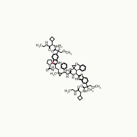 CCNC(=O)[C@H](NC(=O)C(C)(COC)c1ccc2nc([C@@H](NC(=O)NCC3C[C@]3(C)[C@@H](c3ccccc3Cl)[C@H](NC(=O)N3CCCC3)c3nc4ccc(C(C)(COC)C(=O)N[C@@H](C(=O)NCC)C5CCC5)cc4[nH]3)[C@H](c3ccccc3Cl)C3(C)CC3)[nH]c2c1)C1CCC1